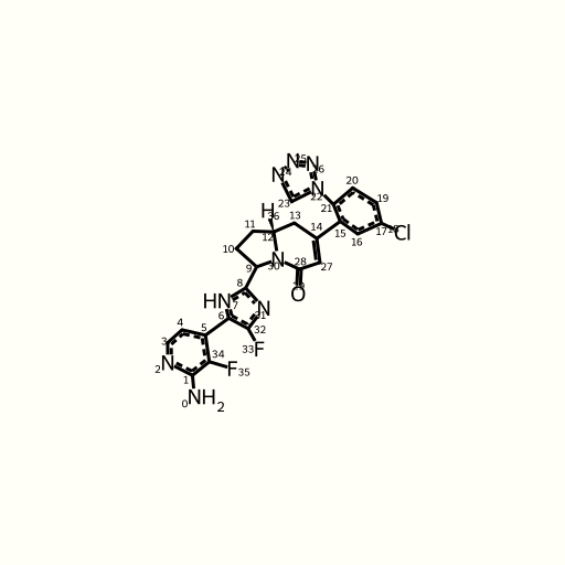 Nc1nccc(-c2[nH]c(C3CC[C@@H]4CC(c5cc(Cl)ccc5-n5cnnn5)=CC(=O)N34)nc2F)c1F